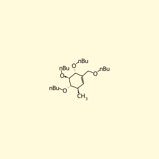 CCCCOCC1=C[C@@H](C)[C@H](OCCCC)[C@@H](OCCCC)[C@@H]1OCCCC